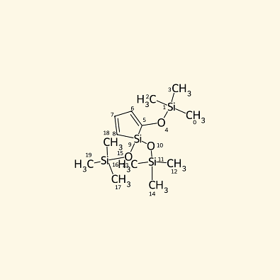 C[Si](C)(C)OC1=CC=C[Si]1(O[Si](C)(C)C)O[Si](C)(C)C